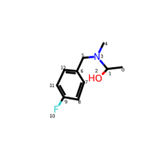 CC(O)N(C)Cc1ccc(F)cc1